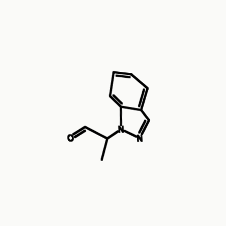 CC(C=O)n1ncc2ccccc21